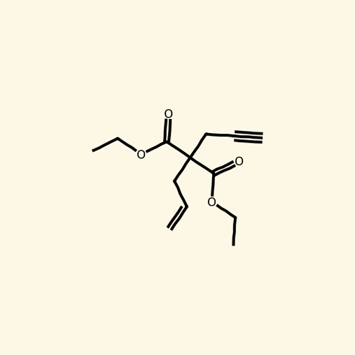 C#CCC(CC=C)(C(=O)OCC)C(=O)OCC